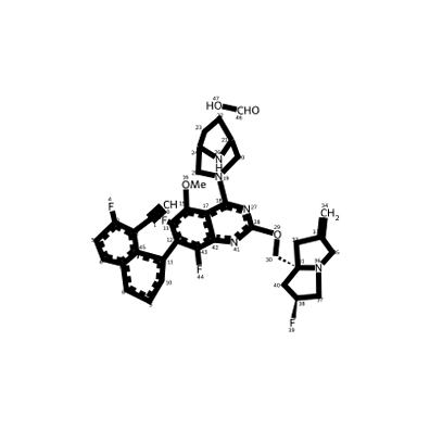 C#Cc1c(F)ccc2cccc(-c3c(F)c(OC)c4c(N5CC6CCC(C5)N6)nc(OC[C@]56CC(=C)CN5C[C@@H](F)C6)nc4c3F)c12.O=CO